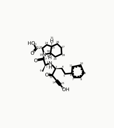 C[C@H](N[C@@H](CCc1ccccc1)C(=O)C#CO)C(=O)N1[C@H](C(=O)O)C[C@H]2CCCC[C@@H]21